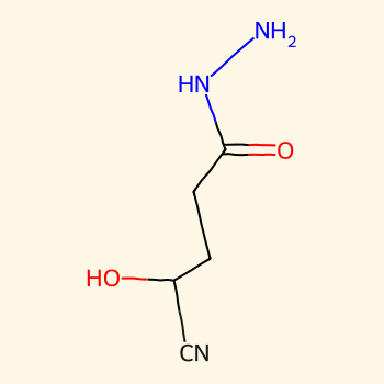 N#CC(O)CCC(=O)NN